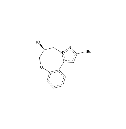 CC(C)(C)c1cc2n(n1)C[C@H](O)COc1ccccc1-2